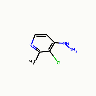 Cc1nccc(NN)c1Cl